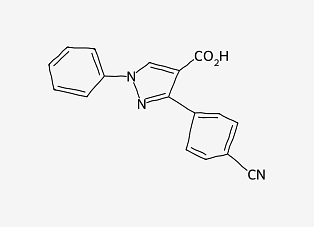 N#Cc1ccc(-c2nn(-c3ccccc3)cc2C(=O)O)cc1